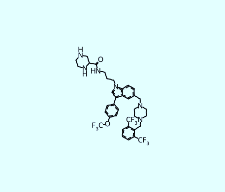 O=C(NCCCn1cc(-c2ccc(OC(F)(F)F)cc2)c2cc(CN3CCN(Cc4c(C(F)(F)F)cccc4C(F)(F)F)CC3)ccc21)C1CNCCN1